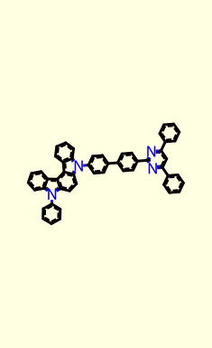 c1ccc(-c2cc(-c3ccccc3)nc(-c3ccc(-c4ccc(-n5c6ccccc6c6c7c8ccccc8n(-c8ccccc8)c7ccc65)cc4)cc3)n2)cc1